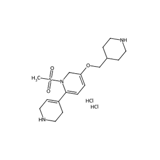 CS(=O)(=O)N1CC(OCC2CCNCC2)=CC=C1C1=CCNCC1.Cl.Cl